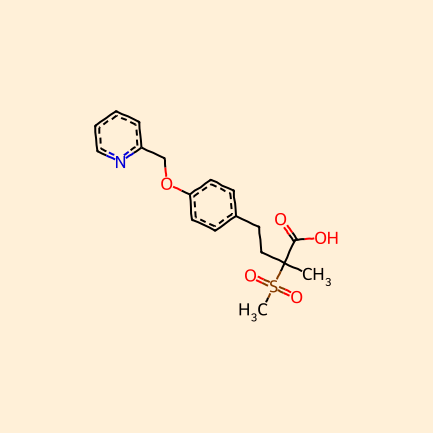 CC(CCc1ccc(OCc2ccccn2)cc1)(C(=O)O)S(C)(=O)=O